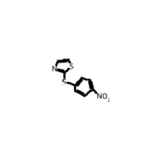 O=[N+]([O-])c1ccc(Sc2nccs2)cc1